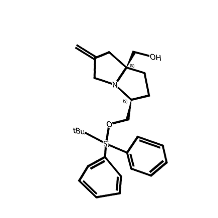 C=C1CN2[C@H](CO[Si](c3ccccc3)(c3ccccc3)C(C)(C)C)CC[C@@]2(CO)C1